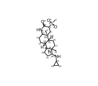 C[C@]12CC(S(C)(=O)=O)C(=O)NC1CC[C@@H]1[C@H]2CC[C@]2(C)C(NC3CC3)CC[C@@H]12